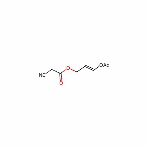 CC(=O)OC=CCOC(=O)CC#N